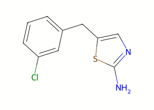 Nc1ncc(Cc2cccc(Cl)c2)s1